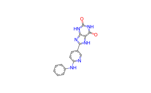 O=c1[nH]c(=O)c2[nH]c(-c3ccc(Nc4ccccc4)nc3)nc2[nH]1